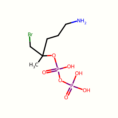 CC(CBr)(CCCN)OP(=O)(O)OP(=O)(O)O